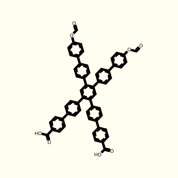 O=COc1ccc(-c2ccc(-c3cc(-c4ccc(-c5ccc(C(=O)O)cc5)cc4)c(-c4ccc(-c5ccc(C(=O)O)cc5)cc4)cc3-c3ccc(-c4ccc(OC=O)cc4)cc3)cc2)cc1